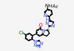 CC(=O)Nc1ccc(-c2cnc([C@@H]3CCc4cc(-c5cc(Cl)ccc5-n5cnnn5)cc(=O)n43)[nH]2)nc1